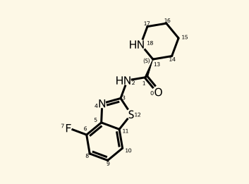 O=C(Nc1nc2c(F)cccc2s1)[C@@H]1CCCCN1